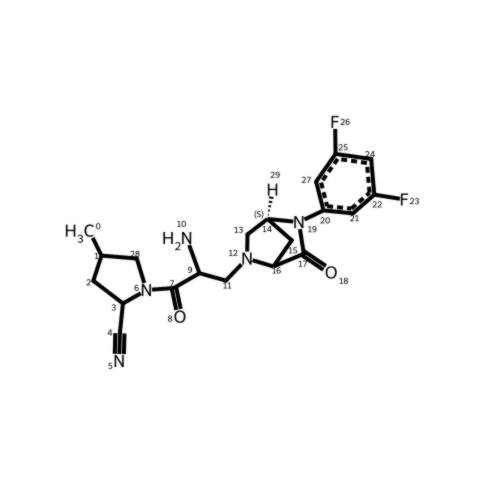 CC1CC(C#N)N(C(=O)C(N)CN2C[C@@H]3CC2C(=O)N3c2cc(F)cc(F)c2)C1